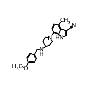 COc1ccc(CNC2CCN(c3ccc(C)c4c(C#N)c[nH]c34)CC2)cc1